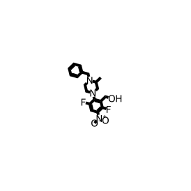 CC1CN(c2c(F)cc([N+](=O)[O-])c(F)c2CO)CCN1Cc1ccccc1